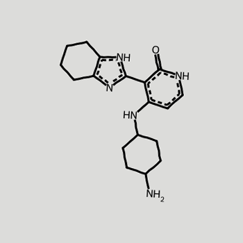 NC1CCC(Nc2cc[nH]c(=O)c2-c2nc3c([nH]2)CCCC3)CC1